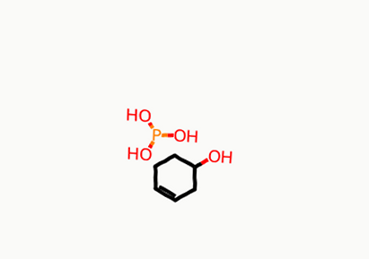 OC1CC=CCC1.OP(O)O